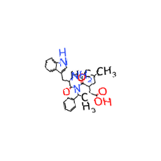 CC(C)CC(CC(=O)O)C(=O)N(C(=O)C(N)Cc1c[nH]c2ccccc12)C(C)c1ccccc1